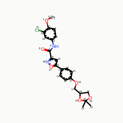 CC(C)Oc1ccc(NC(=O)c2cc(-c3ccc(OCC4COC(C)(C)O4)cc3)on2)cc1Cl